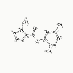 Cc1ncc(C)c(NC(=O)c2ccnn2C)n1